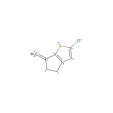 C=C1CCc2cc(Cl)sc21